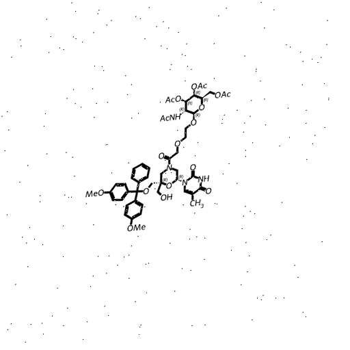 COc1ccc(C(OC[C@]2(CO)CN(C(=O)COCCO[C@@H]3O[C@H](COC(C)=O)[C@H](OC(C)=O)[C@H](OC(C)=O)[C@H]3NC(C)=O)C[C@H](n3cc(C)c(=O)[nH]c3=O)O2)(c2ccccc2)c2ccc(OC)cc2)cc1